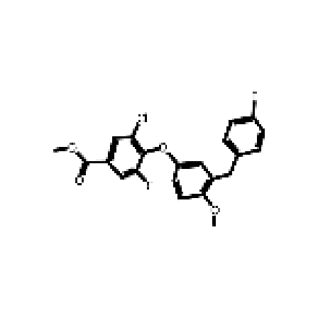 COC(=O)c1cc(Cl)c(Oc2ccc(OC)c(Cc3ccc(F)cc3)c2)c(Cl)c1